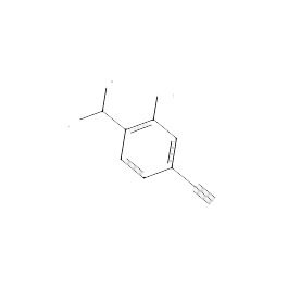 C#Cc1ccc(C(C)O)c(C)c1